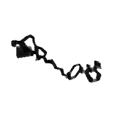 CCc1cccc(N2CCN(CCC/C=C/c3ccc4c(n3)NC(=O)CC4)CC2)n1